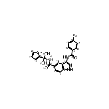 CC(C)(NC(=O)c1ccc2[nH]nc(NC(=O)c3ccc(F)cc3)c2c1)c1cccs1